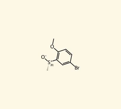 COc1ccc(Br)cc1[S@+](C)[O-]